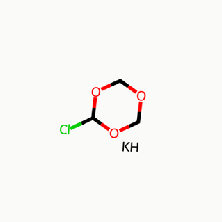 ClC1OCOCO1.[KH]